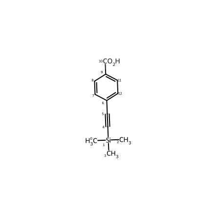 C[Si](C)(C)C#Cc1ccc(C(=O)O)cc1